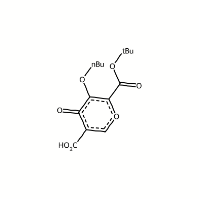 CCCCOc1c(C(=O)OC(C)(C)C)occ(C(=O)O)c1=O